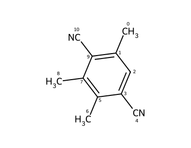 Cc1cc(C#N)c(C)c(C)c1C#N